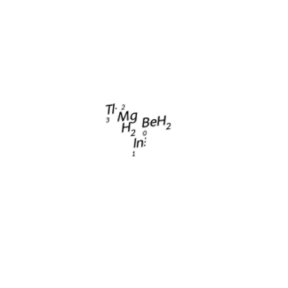 [BeH2].[In].[MgH2].[Tl]